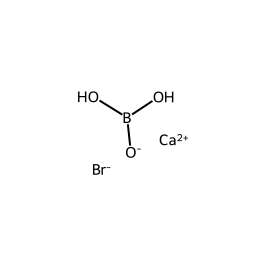 [Br-].[Ca+2].[O-]B(O)O